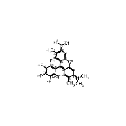 CCN(CC)c1cc2oc3cc(=[N+](C)C)c(C)cc-3c(-c3c(F)c(F)c(F)c(F)c3F)c2cc1C